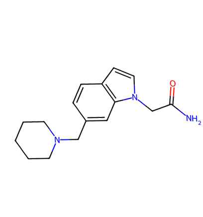 NC(=O)Cn1ccc2ccc(CN3CCCCC3)cc21